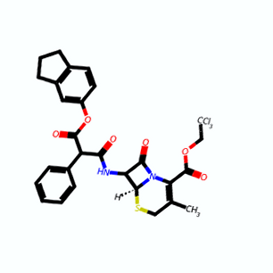 CC1=C(C(=O)OCC(Cl)(Cl)Cl)N2C(=O)C(NC(=O)C(C(=O)Oc3ccc4c(c3)CCC4)c3ccccc3)[C@@H]2SC1